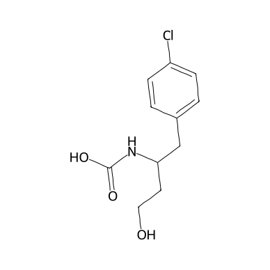 O=C(O)NC(CCO)Cc1ccc(Cl)cc1